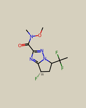 CON(C)C(=O)c1nc2n(n1)C(C(C)(F)F)C[C@@H]2F